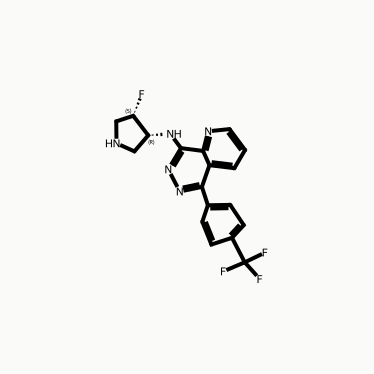 F[C@H]1CNC[C@H]1Nc1nnc(-c2ccc(C(F)(F)F)cc2)c2cccnc12